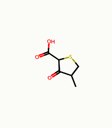 CC1CSC(C(=O)O)C1=O